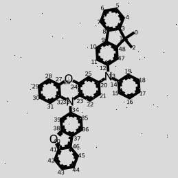 CC1(C)c2ccccc2-c2ccc(N(c3ccccc3)c3ccc4c(c3)Oc3ccccc3N4c3ccc4c(c3)oc3ccccc34)cc21